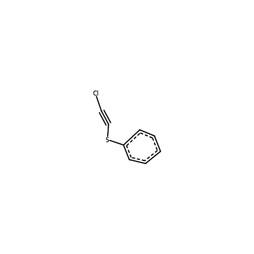 ClC#CSc1ccccc1